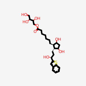 O=C(CCCCCC[C@@H]1[C@@H](CC[C@@H](O)c2cc3ccccc3s2)[C@H](O)C[C@@H]1O)OC[C@H](O)[C@@H](O)CO